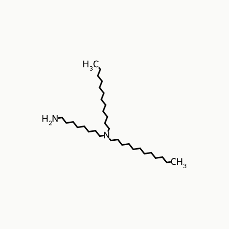 CCCCCCCCCCCCN(CCCCCCCCN)CCCCCCCCCCCC